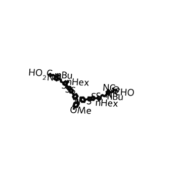 [C-]#[N+]/C(=C\c1ccc(/C=C/c2cc(CCCCCC)c(-c3cc4sc(-c5ccc(N(c6ccc(OC)cc6)c6ccc(-c7cc8sc(-c9sc(/C=C/c%10ccc(/C=C(\C#N)OC=O)n%10CCCC)cc9CCCCCC)cc8s7)cc6)cc5)cc4s3)s2)n1CCCC)C(=O)O